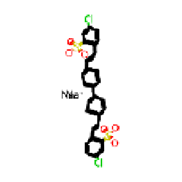 O=S(=O)([O-])c1cc(Cl)ccc1C=Cc1ccc(-c2ccc(C=Cc3ccc(Cl)cc3S(=O)(=O)[O-])cc2)cc1.[Na+].[Na+]